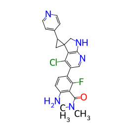 CN(C)C(=O)c1c(N)ccc(-c2cnc3c(c2Cl)C2(CN3)CC2c2ccncc2)c1F